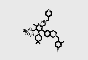 Cc1cc(F)ccc1CN1CCc2cc(-c3c(CNCc4ccncc4)nc(C)c([C@H](OC(C)(C)C)C(=O)O)c3N3CCC(C)(C)CC3)ccc2C1